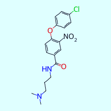 CN(C)CCCNC(=O)c1ccc(Oc2ccc(Cl)cc2)c([N+](=O)[O-])c1